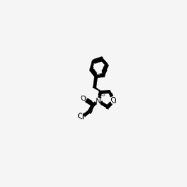 O=C(CCl)N1COC[C@@H]1Cc1ccccc1